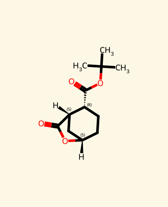 CC(C)(C)OC(=O)[C@@H]1CC[C@H]2C[C@@H]1C(=O)O2